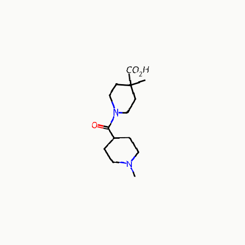 CN1CCC(C(=O)N2CCC(C)(C(=O)O)CC2)CC1